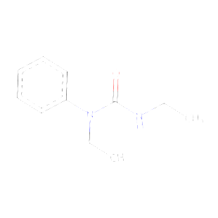 CCNC(=O)N(CC)c1c[c]ccc1